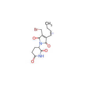 CC/C=C\C1=C(CBr)C(=O)N(C2CCC(=O)NC2=O)C1=O